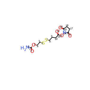 NC(=O)OCCSSCCCC(=O)ON1C(=O)CCC1=O